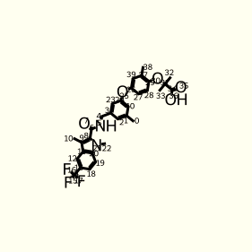 Cc1cc(CNC(=O)c2c(C)c3cc(C(F)(F)F)ccc3n2C)cc(Oc2ccc(OC(C)(C)C(=O)O)c(C)c2)c1